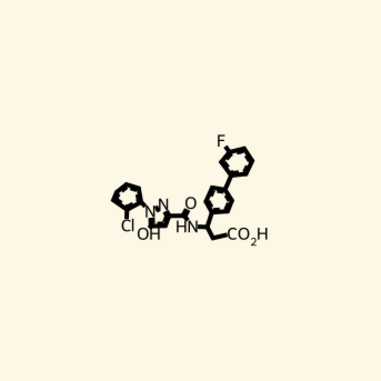 O=C(O)CC(NC(=O)c1cc(O)n(-c2ccccc2Cl)n1)c1ccc(-c2cccc(F)c2)cc1